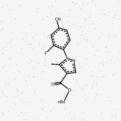 CCCCOC(=O)c1cnn(-c2ccc(C#N)cc2F)c1C